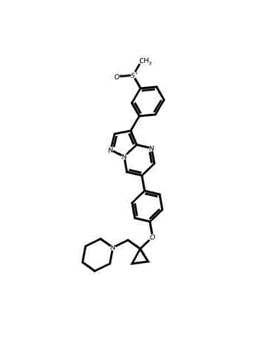 C[S+]([O-])c1cccc(-c2cnn3cc(-c4ccc(OC5(CN6CCCCC6)CC5)cc4)cnc23)c1